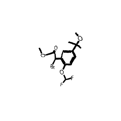 COC(=O)C(Br)c1cc(C(C)(C)OC)ccc1OC(F)F